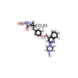 CCOC(=O)[C@@]1(Cc2ccc(OCc3cc(N4CCN(C)CC4)nc4ccccc34)cc2)C[C@@H]1C(=O)NO